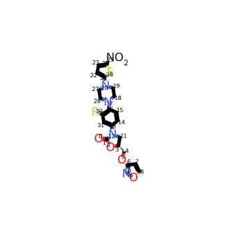 O=C1O[C@@H](COc2ccon2)CN1c1ccc(N2CCN(c3ccc([N+](=O)[O-])s3)CC2)c(F)c1